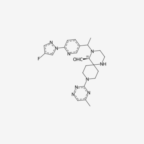 Cc1cnnc(N2CCC3(CC2)NCCN(C(C)c2ccc(-n4cc(F)cn4)nc2)[C@@H]3C=O)n1